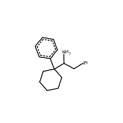 CC(C)CC(N)C1(c2ccccc2)C[CH]CCC1